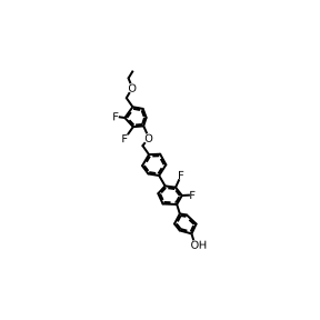 CCOCc1ccc(OCc2ccc(-c3ccc(-c4ccc(O)cc4)c(F)c3F)cc2)c(F)c1F